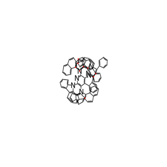 c1ccc(-c2cc(-c3ccccc3-c3c(-n4c5ccccc5c5ccc6ccccc6c54)c(-n4c5ccccc5c5ccc6ccccc6c54)nc(-n4c5ccccc5c5ccc6ccccc6c54)c3-n3c4ccccc4c4ccc5ccccc5c43)nc(-c3ccccc3)n2)cc1